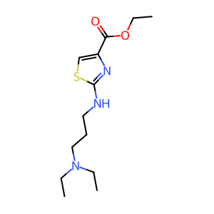 CCOC(=O)c1csc(NCCCN(CC)CC)n1